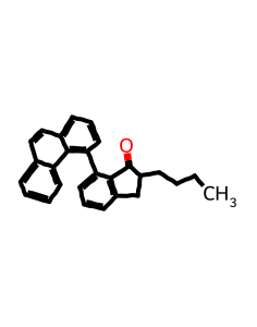 CCCCC1Cc2cccc(-c3cccc4ccc5ccccc5c34)c2C1=O